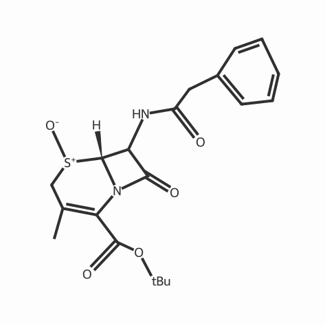 CC1=C(C(=O)OC(C)(C)C)N2C(=O)C(NC(=O)Cc3ccccc3)[C@H]2[S+]([O-])C1